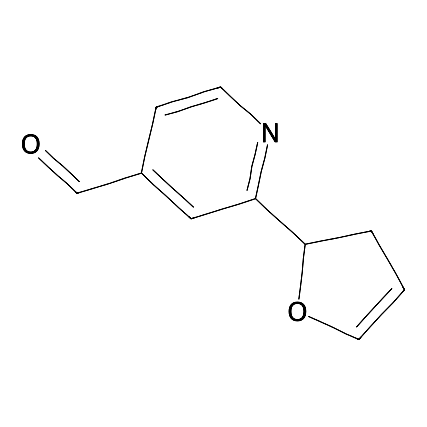 O=Cc1ccnc(C2CC=CO2)c1